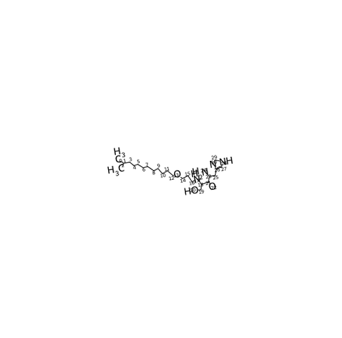 CC(C)CCCCCCCCCCOCCCNC(CO)C(=O)[C@@H](N)Cc1c[nH]cn1